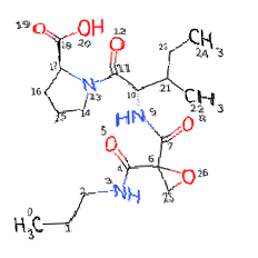 CCCNC(=O)C1(C(=O)N[C@H](C(=O)N2CCC[C@H]2C(=O)O)C(C)CC)CO1